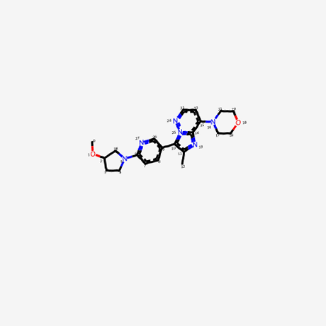 COC1CCN(c2ccc(-c3c(C)nc4c(N5CCOCC5)ccnn34)cn2)C1